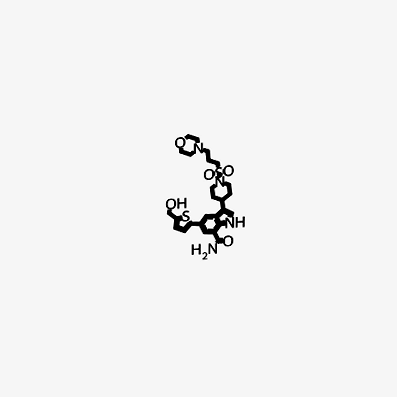 NC(=O)c1cc(-c2ccc(CO)s2)cc2c(C3CCN(S(=O)(=O)CCCN4CCOCC4)CC3)c[nH]c12